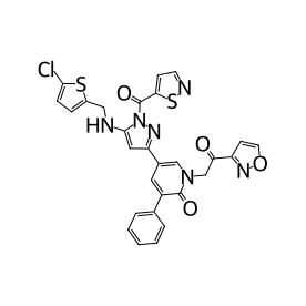 O=C(Cn1cc(-c2cc(NCc3ccc(Cl)s3)n(C(=O)c3ccns3)n2)cc(-c2ccccc2)c1=O)c1ccon1